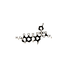 Cn1cnc2ccc(Nc3c(F)c(F)cc(N(OC(=O)C(F)(F)F)S(=O)(=O)N4CC[C@@H](F)C4)c3F)c(Cl)c2c1=O